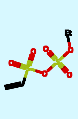 C=CS(=O)(=O)OS(=O)(=O)OCC